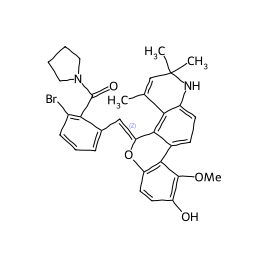 COc1c(O)ccc2c1-c1ccc3c(c1/C(=C/c1cccc(Br)c1C(=O)N1CCCC1)O2)C(C)=CC(C)(C)N3